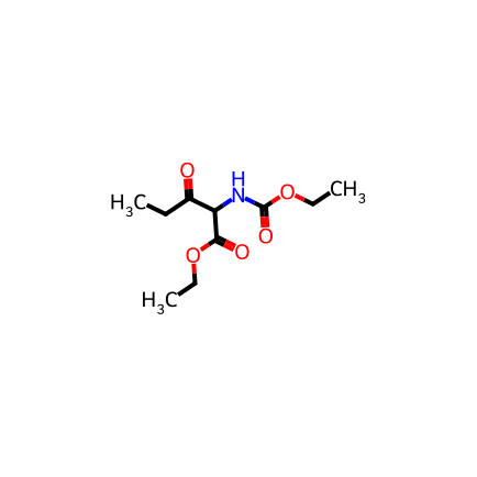 CCOC(=O)NC(C(=O)CC)C(=O)OCC